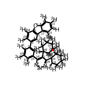 [2H]c1c(-c2cc3c(oc4c([2H])c([2H])c([2H])c([2H])c43)c([2H])c2[2H])cc(-c2nnnc(C3([2H])C([2H])C([2H])([2H])C([2H])([2H])C([2H])([2H])C3([2H])[2H])c2C2([2H])C([2H])C([2H])([2H])C([2H])([2H])C([2H])([2H])C2([2H])[2H])c([2H])c1[2H]